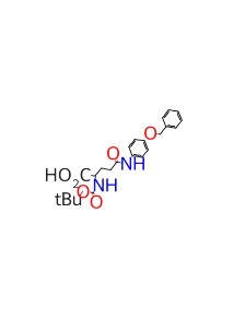 CC(C)(C)OC(=O)NC(CCC(=O)Nc1ccc(OCc2ccccc2)cc1)C(=O)O